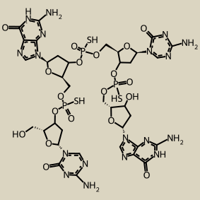 Nc1ncn([C@H]2CC(OP(=O)(S)OC[C@H]3O[C@@H](n4cnc5c(=O)[nH]c(N)nc54)CC3OP(=O)(S)OC[C@H]3O[C@@H](n4cnc(N)nc4=O)CC3OP(=O)(S)OC[C@H]3O[C@@H](n4cnc5c(=O)[nH]c(N)nc54)CC3O)[C@@H](CO)O2)c(=O)n1